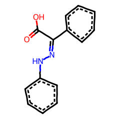 O=C(O)/C(=N\Nc1ccccc1)c1ccccc1